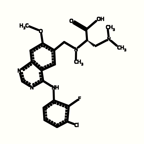 COc1cc2ncnc(Nc3cccc(Cl)c3F)c2cc1CN(C)[C@@H](CN(C)C)C(=O)O